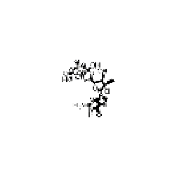 C#CC1(Cl)C(CO)[C@@H]([C@@H](C)OP(=O)(O)OP(=O)(O)OP(=O)(O)O)O[C@H]1n1cnc2c(=O)[nH]c(N)nc21